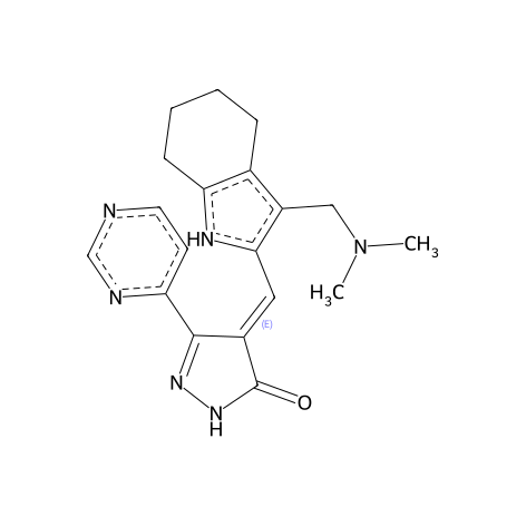 CN(C)Cc1c(/C=C2/C(=O)NN=C2c2ccncn2)[nH]c2c1CCCC2